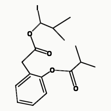 CC(C)C(=O)Oc1ccccc1CC(=O)OC(I)C(C)C